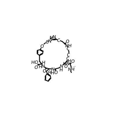 CN[C@@H](C)C(=O)N[C@H]1CCCCNC(=O)CCc2cn(nn2)CCOc2ccc(cc2)C[C@@H](C(=O)O)NC(=O)[C@H](Cc2ccccc2)NC(=O)CNC1=O